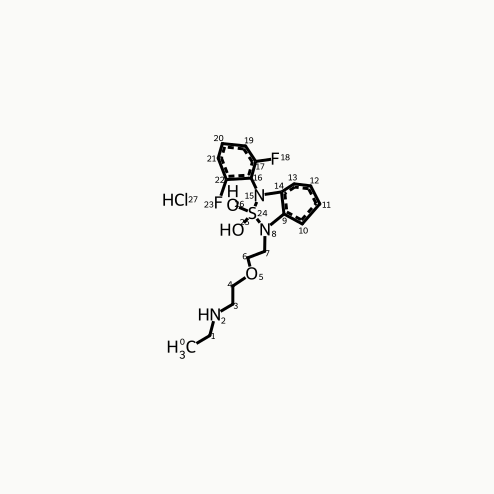 CCNCCOCCN1c2ccccc2N(c2c(F)cccc2F)S1(O)O.Cl